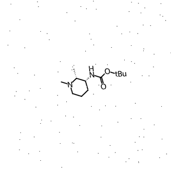 C[C@@H]1[C@H](NC(=O)OC(C)(C)C)CCCN1C